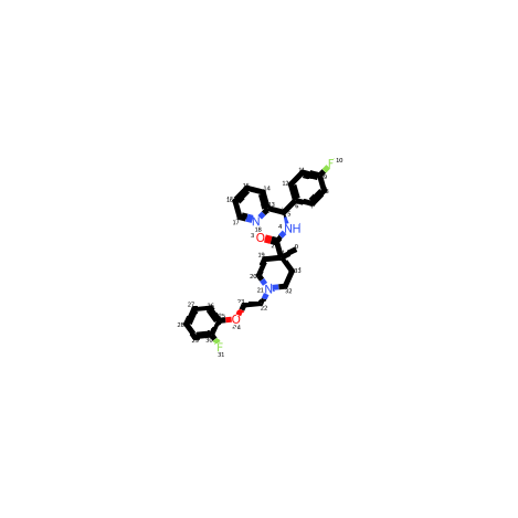 CC1(C(=O)N[C@H](c2ccc(F)cc2)c2ccccn2)CCN(CCOc2ccccc2F)CC1